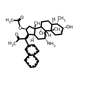 CC(=O)O[C@H]1C[C@@]2(C)[C@@H](C[C@@H](N)[C@H]3[C@@]4(C)CC[C@@H](O)[C@@H](C)[C@@H]4CC[C@@]32C)/C1=C(/C(C)=O)c1ccc2ccccc2c1